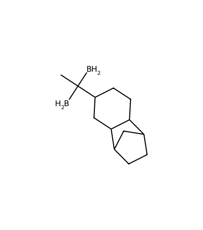 BC(B)(C)C1CCC2C3CCC(C3)C2C1